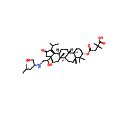 CC(C)CC(CO)NC[C@H](O)[C@@]12CC[C@]3(C)[C@H](CC[C@@H]4[C@@]5(C)CC[C@H](OC(=O)CC(C)(C)C(=O)O)C(C)(C)[C@@H]5CC[C@]43C)C1=C(C(C)C)C(=O)C2